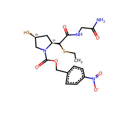 CCSC(C(=O)NCC(N)=O)[C@@H]1C[C@H](S)CN1C(=O)OCc1ccc([N+](=O)[O-])cc1